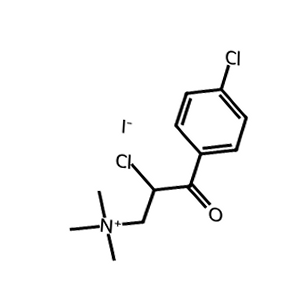 C[N+](C)(C)CC(Cl)C(=O)c1ccc(Cl)cc1.[I-]